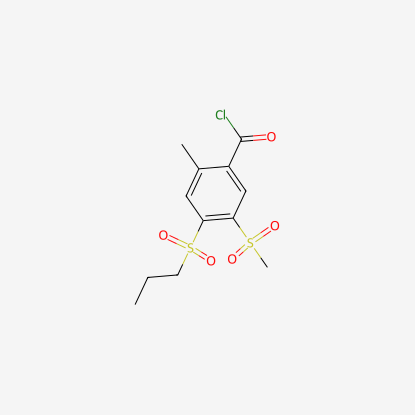 CCCS(=O)(=O)c1cc(C)c(C(=O)Cl)cc1S(C)(=O)=O